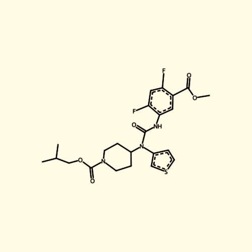 COC(=O)c1cc(NC(=O)N(c2ccsc2)C2CCN(C(=O)OCC(C)C)CC2)c(F)cc1F